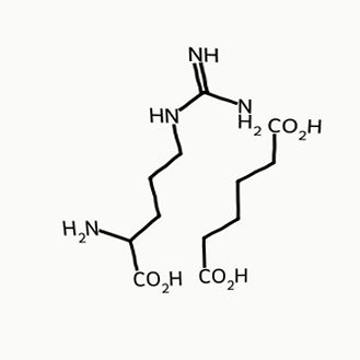 N=C(N)NCCCC(N)C(=O)O.O=C(O)CCCCC(=O)O